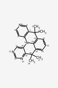 CC1(C)c2cnccc2N2c3cncnc3C(C)(C)c3cccc1c32